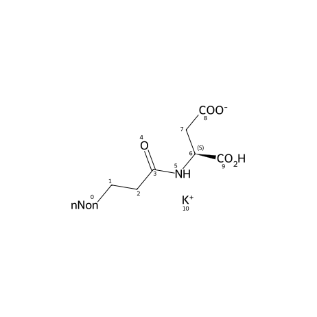 CCCCCCCCCCCC(=O)N[C@@H](CC(=O)[O-])C(=O)O.[K+]